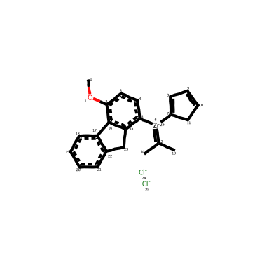 COc1cc[c]([Zr+2]([C]2=CC=CC2)=[C](C)C)c2c1-c1ccccc1C2.[Cl-].[Cl-]